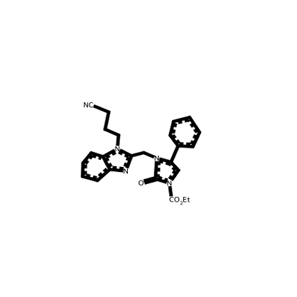 CCOC(=O)n1cc(-c2ccccc2)n(Cc2nc3ccccc3n2CCCC#N)c1=O